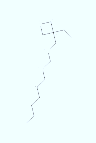 CCCCCCOCOCC1(CC)COC1